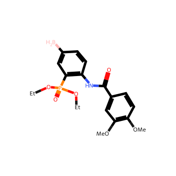 Bc1ccc(NC(=O)c2ccc(OC)c(OC)c2)c(P(=O)(OCC)OCC)c1